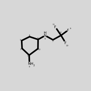 NC1CCCC(NCC(F)(F)F)C1